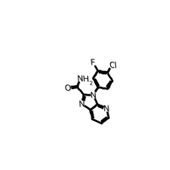 NC(=O)c1nc2cccnc2n1-c1ccc(Cl)c(F)c1